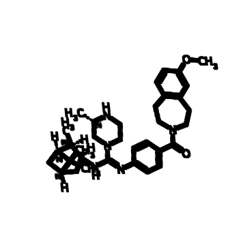 COc1ccc2c(c1)CCN(C(=O)c1ccc(N=C(N[C@H]3C[C@@H]4C[C@@H]([C@H]3C)C4(C)C)N3CCN[C@@H](C)C3)cc1)CC2